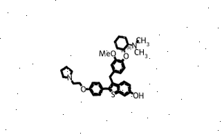 COc1cc(Cc2c(-c3ccc(OCCN4CCCC4)cc3)sc3cc(O)ccc23)ccc1O[C@@H]1CCCC[C@H]1N(C)C